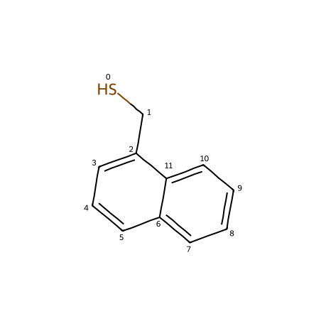 SCc1cccc2ccccc12